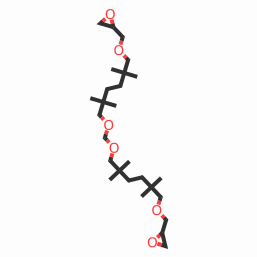 CC(C)(CCC(C)(C)COCC1CO1)COCOCC(C)(C)CCC(C)(C)COCC1CO1